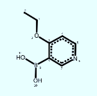 CCOc1ccncc1B(O)O